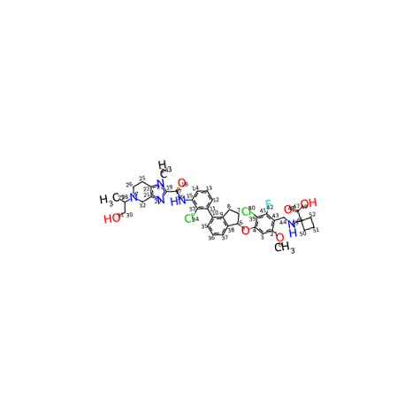 COc1cc(OC2CCc3c(-c4cccc(NC(=O)c5nc6c(n5C)CCN(C(C)CO)C6)c4Cl)cccc32)c(Cl)c(F)c1CNC1(C(=O)O)CCC1